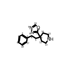 c1ccc(CCC2(c3nnco3)CCNCC2)cc1